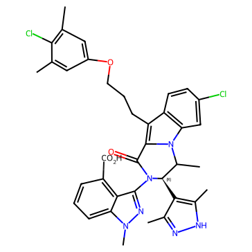 Cc1cc(OCCCc2c3n(c4cc(Cl)ccc24)C(C)[C@@H](c2c(C)n[nH]c2C)N(c2nn(C)c4cccc(C(=O)O)c24)C3=O)cc(C)c1Cl